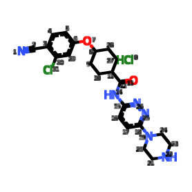 Cl.N#Cc1ccc(OC2CCC(C(=O)Nc3ccc(N4CCNCC4)nn3)CC2)cc1Cl